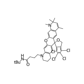 CC1=CC(C)(C)N(C)c2cc3c(cc21)C1(OCc2c(Cl)c(Cl)c(Cl)c(Cl)c21)c1cc2c(cc1O3)N(CCCC(=O)NC(C)(C)C)CCC2